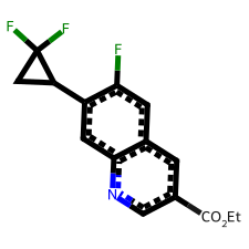 CCOC(=O)c1cnc2cc(C3CC3(F)F)c(F)cc2c1